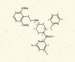 COc1cccc(OC)c1CCN[C@H]1CCN(C(=O)c2cc(C)cc(C)c2)[C@@H](Cc2ccccc2)C1